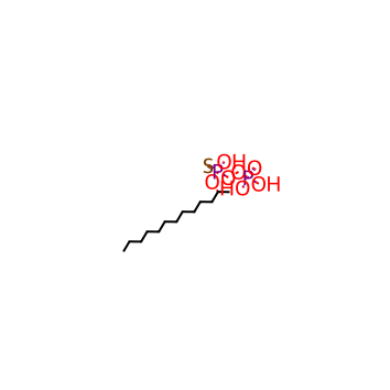 CCCCCCCCCCCC(C)OP(O)(=S)OOP(=O)(O)O